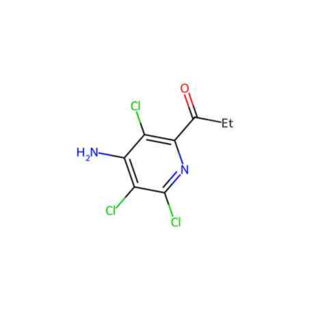 CCC(=O)c1nc(Cl)c(Cl)c(N)c1Cl